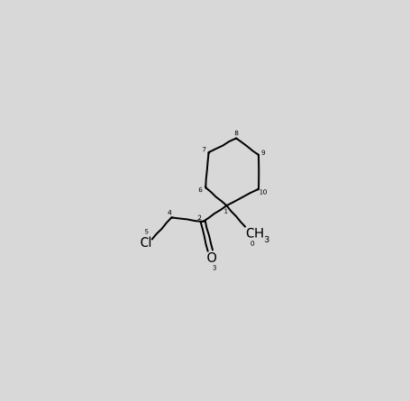 CC1(C(=O)CCl)CCCCC1